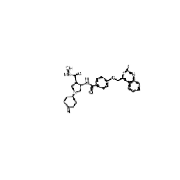 Cc1cc(COc2ccc(C(=O)NC3CN(C4CCNCC4)CC3C(=O)NO)cc2)c2ccccc2n1